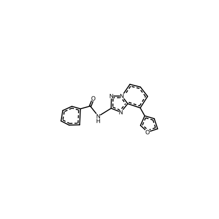 O=C(Nc1nc2c(-c3ccoc3)cccn2n1)c1ccccc1